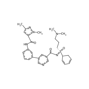 Cc1cc(C(=O)Nc2cccc(-c3cncc(C(=O)N=[S@](=O)(CCCN(C)C)C4C=CC=CC4)c3)c2)n(C)n1